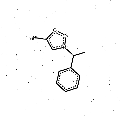 CC(c1ccccc1)[n+]1cc([NH-])on1